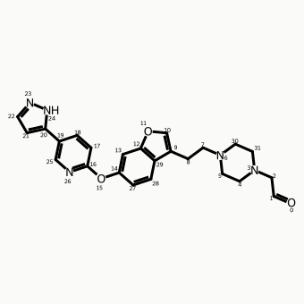 O=CCN1CCN(CCc2coc3cc(Oc4ccc(-c5ccn[nH]5)cn4)ccc23)CC1